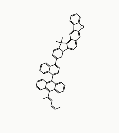 C/C=C\C=C(/C)c1c2ccccc2c(-c2ccc(C3=CC=C4C(C3)c3ccc5cc6oc7ccccc7c6cc5c3C4(C)C)c3ccccc23)c2ccccc12